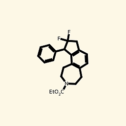 CCOC(=O)N1CCc2ccc3c(c2CC1)C(c1ccccc1)C(F)(F)C3